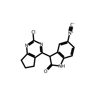 [C-]#[N+]c1ccc2c(c1)C(c1nc(Cl)nc3c1CCC3)C(=O)N2